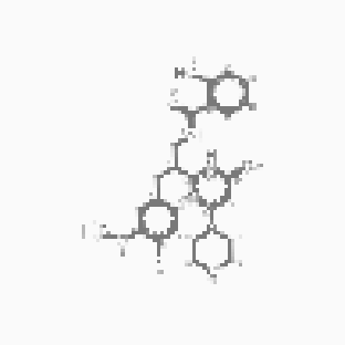 COc1cc(CC(CNC(=O)c2ccccc2O)c2nc(N3CCOCC3)cc(=O)[nH]2)ccc1F